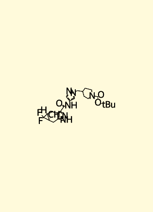 CC(C)(C)OC(=O)N1CCC(Cn2cc(NC(=O)c3n[nH]c4c3C[C@@H]3C(F)(F)[C@]3(C)C4)cn2)CC1